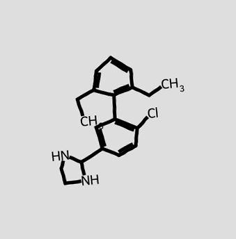 CCc1cccc(CC)c1-c1cc(C2NCCN2)ccc1Cl